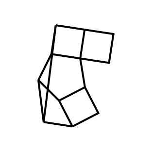 C1C2C3C4C2C1C12CCC1C3C42